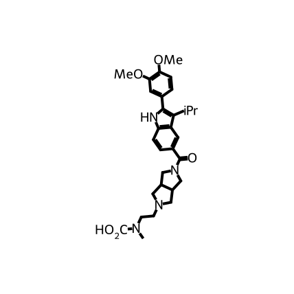 COc1ccc(-c2[nH]c3ccc(C(=O)N4CC5CN(CCN(C)C(=O)O)CC5C4)cc3c2C(C)C)cc1OC